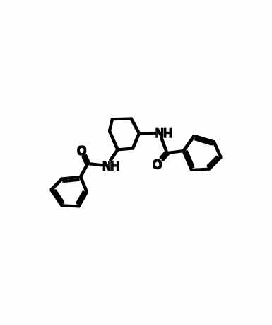 O=C(NC1CCCC(NC(=O)c2ccccc2)C1)c1ccccc1